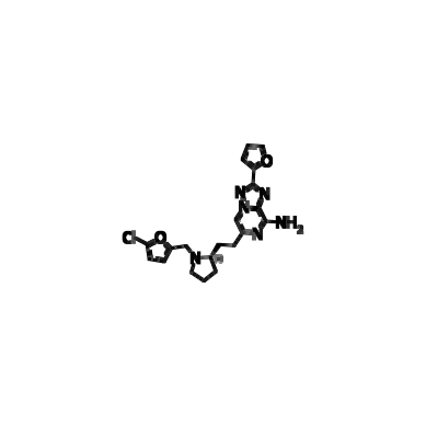 Nc1nc(CC[C@H]2CCCN2Cc2ccc(Cl)o2)cn2nc(-c3ccco3)nc12